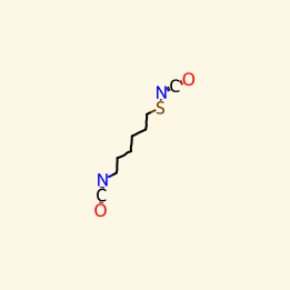 O=C=NCCCCCCSN=C=O